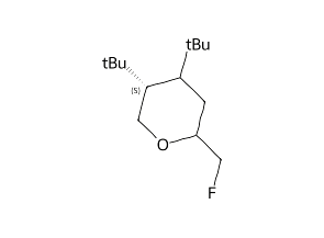 CC(C)(C)C1CC(CF)OC[C@@H]1C(C)(C)C